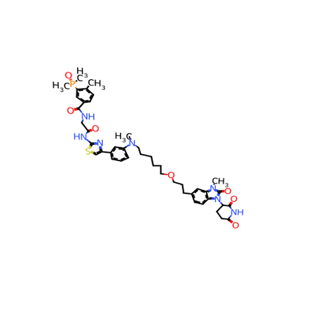 Cc1ccc(C(=O)NCC(=O)Nc2nc(-c3cccc(N(C)CCCCCCOCCCc4ccc5c(c4)n(C)c(=O)n5C4CCC(=O)NC4=O)c3)cs2)cc1P(C)(C)=O